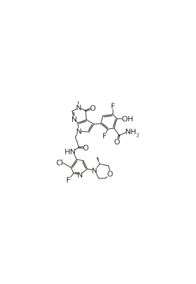 C[C@H]1COCCN1c1cc(NC(=O)Cn2cc(-c3cc(F)c(O)c(C(N)=O)c3F)c3c(=O)n(C)cnc32)c(Cl)c(F)n1